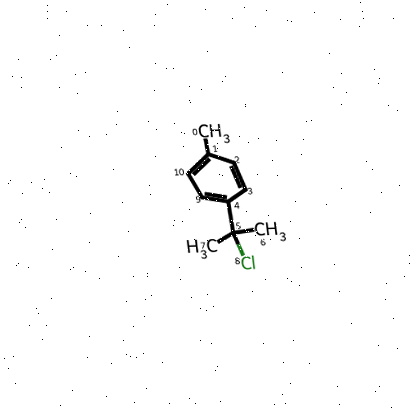 Cc1ccc(C(C)(C)Cl)cc1